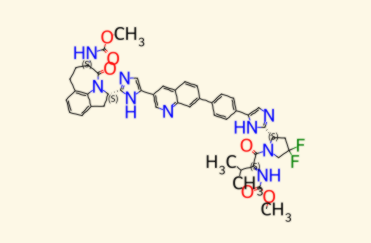 COC(=O)N[C@H]1CCc2cccc3c2N(C1=O)[C@H](c1ncc(-c2cnc4cc(-c5ccc(-c6cnc([C@@H]7CC(F)(F)CN7C(=O)[C@@H](NC(=O)OC)C(C)C)[nH]6)cc5)ccc4c2)[nH]1)C3